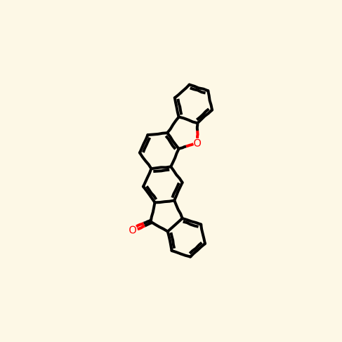 O=C1c2ccccc2-c2cc3c(ccc4c5ccccc5oc34)cc21